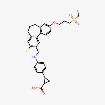 CCS(=O)(=O)CCCOc1ccc2c(c1)CCCc1cc(F)c(CNc3ccc(C4CC4C(=O)O)cc3)cc1-2